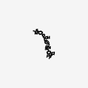 Cc1nc2cc(OC[C@@H](O)CN3CCN(Cc4nc(-c5ccc(C(F)(F)F)c(Cl)c5)no4)CC3)ccc2s1